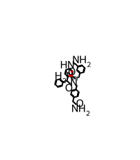 N=C(N)c1cccc(C[C@H](C(N)=O)N(Cc2ccc(CC(N)=O)cc2)C(=O)C(c2ccccc2)c2ccccc2)c1